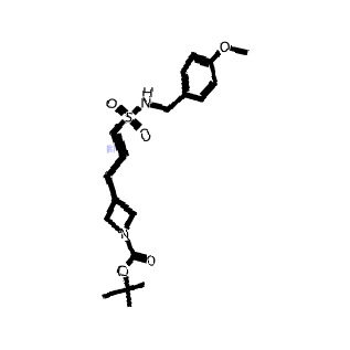 COc1ccc(CNS(=O)(=O)/C=C/CC2CN(C(=O)OC(C)(C)C)C2)cc1